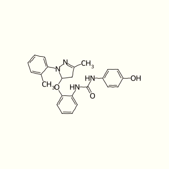 CC1=NN(c2ccccc2C)C(Oc2ccccc2NC(=O)Nc2ccc(O)cc2)C1